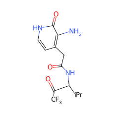 CC(C)C(NC(=O)Cc1cc[nH]c(=O)c1N)C(=O)C(F)(F)F